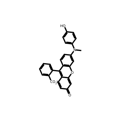 CN(c1ccc(O)cc1)c1ccc2c(-c3ccccc3C(=O)O)c3ccc(=O)cc-3oc2c1